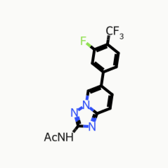 CC(=O)Nc1nc2ccc(-c3ccc(C(F)(F)F)c(F)c3)cn2n1